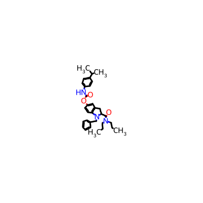 CCCN(CCC)C(=O)C1Cc2cc(OC(=O)Nc3ccc(C(C)C)cc3)ccc2N1Cc1ccccc1